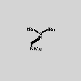 CCC(C)[SiH](C=CNC)C(C)(C)C